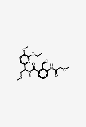 CCOc1nc(C(CSC)N(C)C(=O)c2cccc(NC(=O)COC)c2C=O)ccc1OC